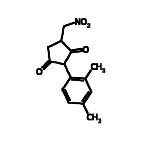 Cc1ccc(C2C(=O)CC(C[N+](=O)[O-])C2=O)c(C)c1